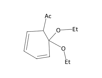 CCOC1(OCC)C=CC=CC1C(C)=O